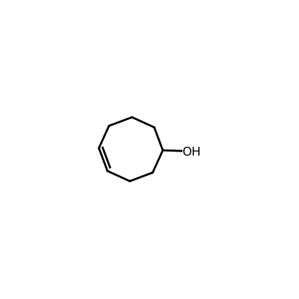 OC1CCC=CCCC1